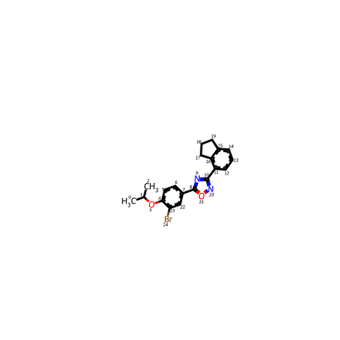 CC(C)Oc1ccc(-c2nc(-c3cccc4c3CCC4)no2)cc1Br